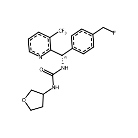 O=C(NC1CCOC1)N[C@@H](c1ccc(CF)cc1)c1ncccc1C(F)(F)F